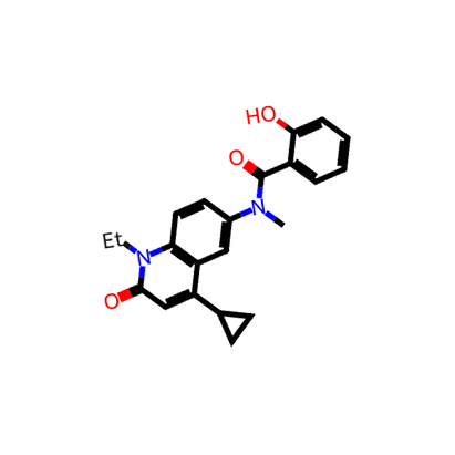 CCn1c(=O)cc(C2CC2)c2cc(N(C)C(=O)c3ccccc3O)ccc21